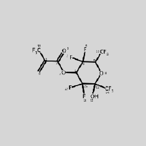 C=C(C(=O)OC1C(F)(F)C(C(F)(F)F)OC(O)(C(F)(F)F)C1(F)F)C(F)(F)F